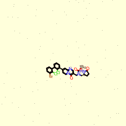 CC(C)(C)OC(=O)N(Cc1cnc2cc(-c3cccc(-c4cccc(Br)c4Cl)c3Cl)ccn2c1=O)C[C@@H]1CCC(=O)N1